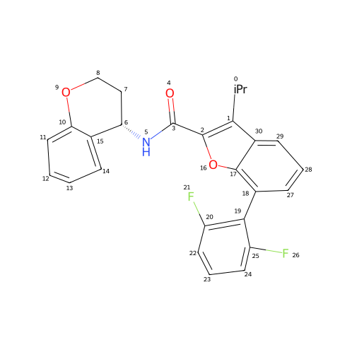 CC(C)c1c(C(=O)N[C@H]2CCOc3ccccc32)oc2c(-c3c(F)cccc3F)cccc12